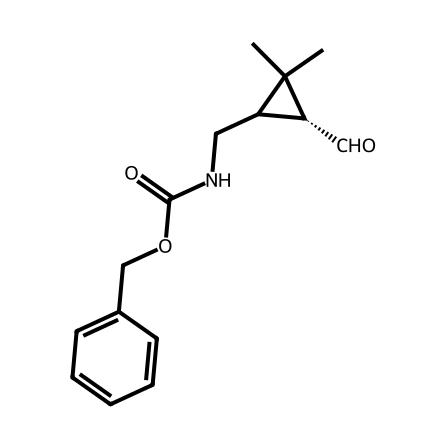 CC1(C)C(CNC(=O)OCc2ccccc2)[C@H]1C=O